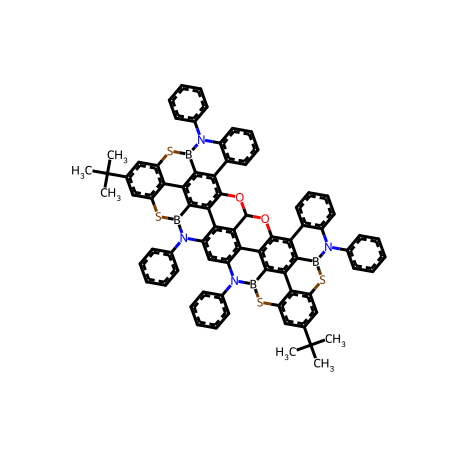 CC(C)(C)c1cc2c3c(c1)SB1c4c5c(c6c(c4-3)B(S2)N(c2ccccc2)c2ccccc2-6)OC2Oc3c4c6c7c8c3-c3c(cc(c-5c32)N1c1ccccc1)N(c1ccccc1)B8Sc1cc(C(C)(C)C)cc(c1-7)SB6N(c1ccccc1)c1ccccc1-4